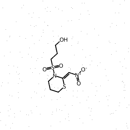 O=[N+]([O-])C=C1SCCCN1S(=O)(=O)CCCO